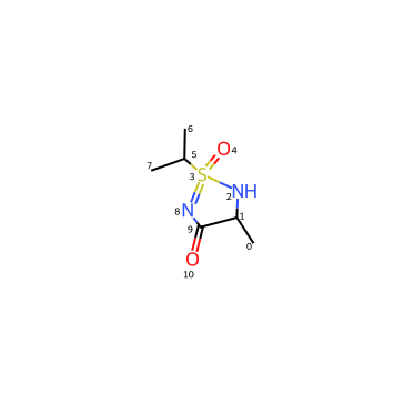 CC1NS(=O)(C(C)C)=NC1=O